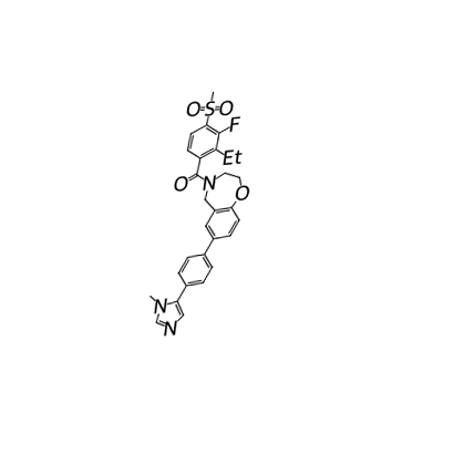 CCc1c(C(=O)N2CCOc3ccc(-c4ccc(-c5cncn5C)cc4)cc3C2)ccc(S(C)(=O)=O)c1F